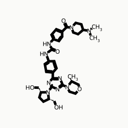 C[C@@H]1COCCN1c1nc(-c2ccc(NC(=O)Nc3ccc(C(=O)N4CCC(N(C)C)CC4)cc3)cc2)nc(N2[C@H](CO)CC[C@@H]2CO)n1